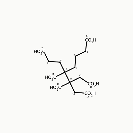 O=C(O)CCCC(CCC(=O)O)(C(=O)O)C(CC(=O)O)(CC(=O)O)C(=O)O